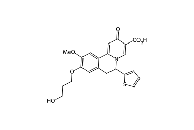 COc1cc2c(cc1OCCCO)CC(c1cccs1)n1cc(C(=O)O)c(=O)cc1-2